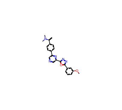 C=C(c1ccc(-c2cncc(-c3nnc(-c4cccc(OC)c4)o3)n2)cc1)N(C)C